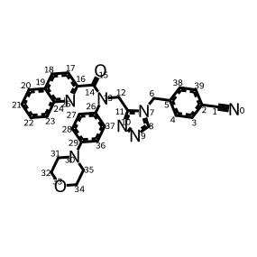 N#Cc1ccc(Cn2cnnc2CN(C(=O)c2ccc3ccccc3n2)c2ccc(N3CCOCC3)cc2)cc1